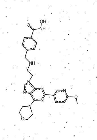 COc1ccc(-c2nc(N3CCOCC3)c3ncn(CCNCc4ccc(C(=O)NO)cc4)c3n2)cn1